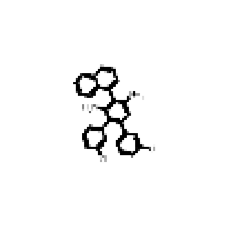 Nc1cc(-c2cccc(Cl)c2)c(-c2cccc(Cl)c2)c(N)c1-c1cccc2ccccc12